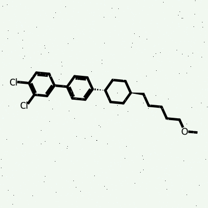 COCCCCC[C@H]1CC[C@H](c2ccc(-c3ccc(Cl)c(Cl)c3)cc2)CC1